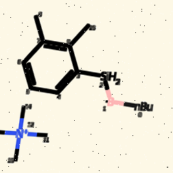 CCCC[B][SiH2]c1cccc(C)c1C.C[N+](C)(C)C